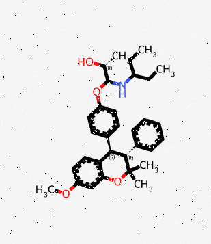 CCC(CC)NC(Oc1ccc([C@@H]2c3ccc(OC)cc3OC(C)(C)[C@H]2c2ccccc2)cc1)[C@@H](C)O